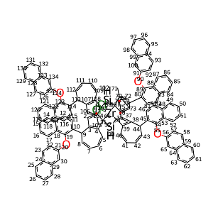 CC1=CC2=C(C=CC=CC2c2ccc3ccccc3c2Oc2ccc3ccccc3c2)[C]12[SiH](C)[C]1(C(C)=CC3=C1C=CC=CC3c1ccc3ccccc3c1Oc1ccc3ccccc3c1)[Zr]21([Cl])([Cl])[C]2(C(C)=CC3=C2C=CC=CC3c2ccc3ccccc3c2Oc2ccc3ccccc3c2)[SiH](C)[C]12C(C)=CC1=C2C=CC=CC1c1ccc2ccccc2c1Oc1ccc2ccccc2c1